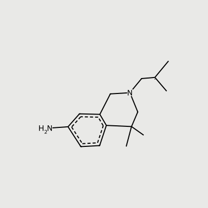 C[C](C)CN1Cc2cc(N)ccc2C(C)(C)C1